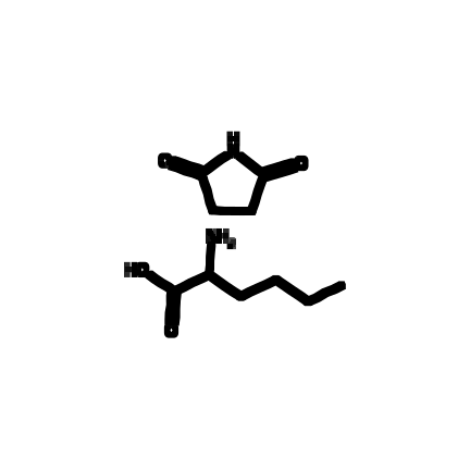 CCCCC(N)C(=O)O.O=C1CCC(=O)N1